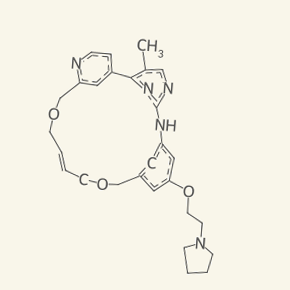 Cc1cnc2nc1-c1ccnc(c1)COC/C=C/COCc1cc(cc(OCCN3CCCC3)c1)N2